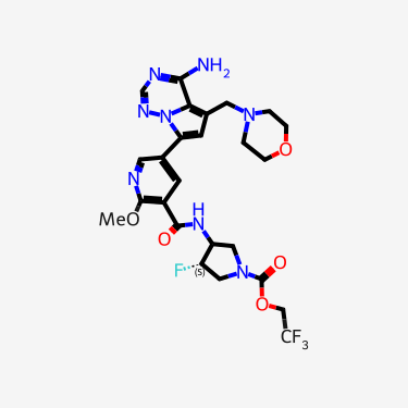 COc1ncc(-c2cc(CN3CCOCC3)c3c(N)ncnn23)cc1C(=O)NC1CN(C(=O)OCC(F)(F)F)C[C@@H]1F